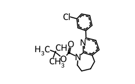 CC(C)(C)OC(=O)N1CCCCc2ccc(-c3cccc(Cl)c3)nc21